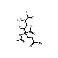 CC(=O)N[C@@](CCC(N)=O)(C(=O)O)C(=O)C[C@H](N)C(=O)O